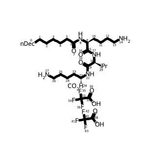 CCCCCCCCCCCCCCCC(=O)N[C@@H](CCCCN)C(=O)N[C@H](C(=O)N[C@@H](CCCCN)C(=O)O)C(C)C.O=C(O)C(F)(F)F.O=C(O)C(F)(F)F